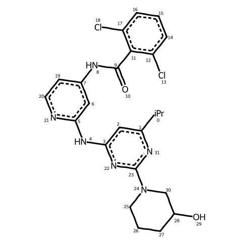 CC(C)c1cc(Nc2cc(NC(=O)c3c(Cl)cccc3Cl)ccn2)nc(N2CCCC(O)C2)n1